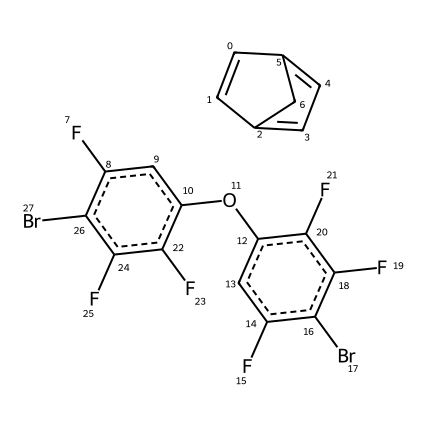 C1=CC2=CC=C1C2.Fc1cc(Oc2cc(F)c(Br)c(F)c2F)c(F)c(F)c1Br